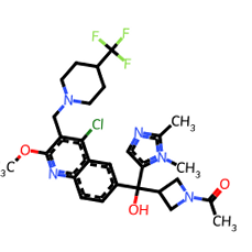 COc1nc2ccc(C(O)(c3cnc(C)n3C)C3CN(C(C)=O)C3)cc2c(Cl)c1CN1CCC(C(F)(F)F)CC1